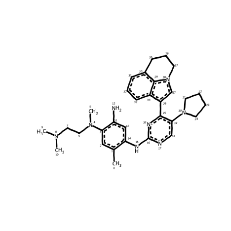 Cc1cc(N(C)CCN(C)C)c(N)cc1Nc1ncc(N2CCCC2)c(-c2cn3c4c(cccc24)CCC3)n1